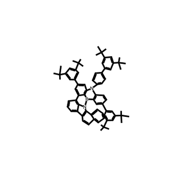 CC(C)(C)c1cc(-c2ccc(N3c4ccc(-c5cc(C(C)(C)C)cc(C(C)(C)C)c5)cc4B4c5c(cc(-c6cc(C(C)(C)C)cc(C(C)(C)C)c6)cc53)-c3cccc5c6ccc7ccccc7c6n4c35)cc2)cc(C(C)(C)C)c1